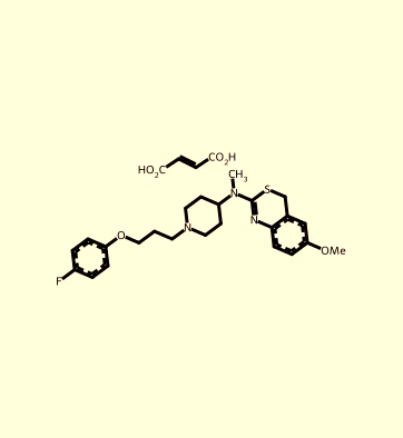 COc1ccc2c(c1)CSC(N(C)C1CCN(CCCOc3ccc(F)cc3)CC1)=N2.O=C(O)C=CC(=O)O